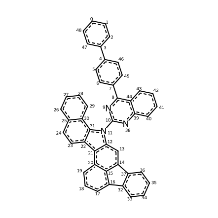 c1ccc(-c2ccc(-c3nc(-n4c5cc6c7c(cccc7c5c5ccc7ccccc7c54)-c4ccccc4-6)nc4ccccc34)cc2)cc1